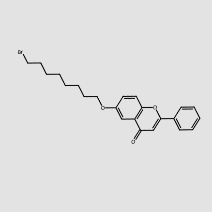 O=c1cc(-c2ccccc2)oc2ccc(OCCCCCCCCBr)cc12